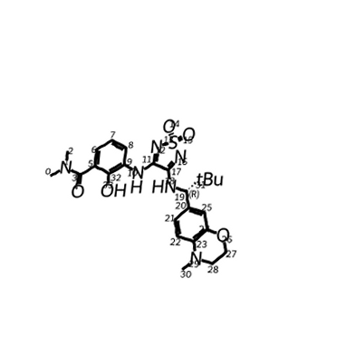 CN(C)C(=O)c1cccc(NC2=NS(=O)(=O)N=C2N[C@@H](c2ccc3c(c2)OCCN3C)C(C)(C)C)c1O